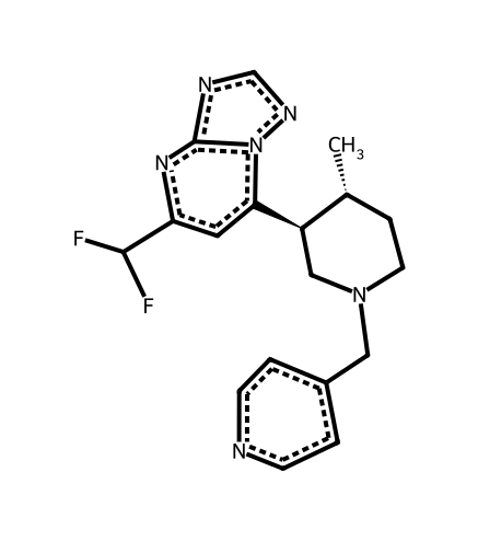 C[C@@H]1CCN(Cc2ccncc2)C[C@H]1c1cc(C(F)F)nc2ncnn12